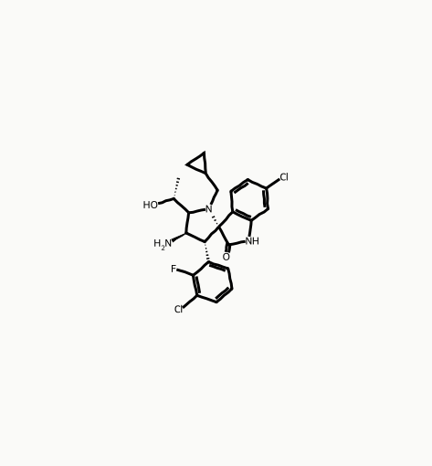 C[C@@H](O)C1[C@H](N)[C@@H](c2cccc(Cl)c2F)[C@@]2(C(=O)Nc3cc(Cl)ccc32)N1CC1CC1